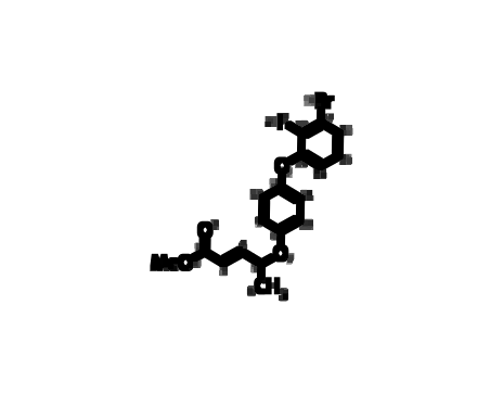 COC(=O)C=CC(C)Oc1ccc(Oc2cccc(Br)c2F)cc1